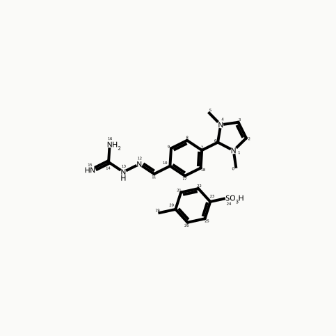 CN1C=CN(C)C1c1ccc(C=NNC(=N)N)cc1.Cc1ccc(S(=O)(=O)O)cc1